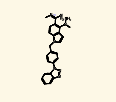 C/N=C(/N)c1ccc2c(ccn2Cc2ccc(-n3nnc4ccccc43)cc2)c1N(C)N